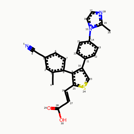 Cc1cc(C#N)ccc1-c1c(-c2ccc(-n3ccnc3C)cc2)csc1C=CC(=O)O